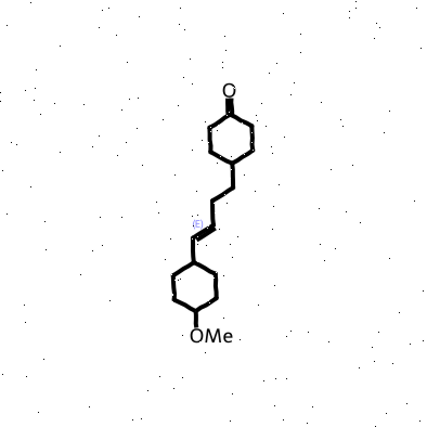 COC1CCC(/C=C/CCC2CCC(=O)CC2)CC1